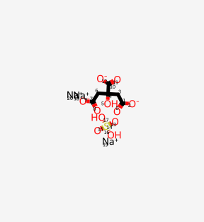 O=C([O-])CC(O)(CC(=O)[O-])C(=O)[O-].O=S(=O)(O)O.[Na+].[Na+].[Na+]